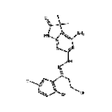 CC1(C)C(=O)Nc2nc(N/N=C(\CCC(F)(F)F)c3cc(Cl)ccc3Br)nc(N)c21